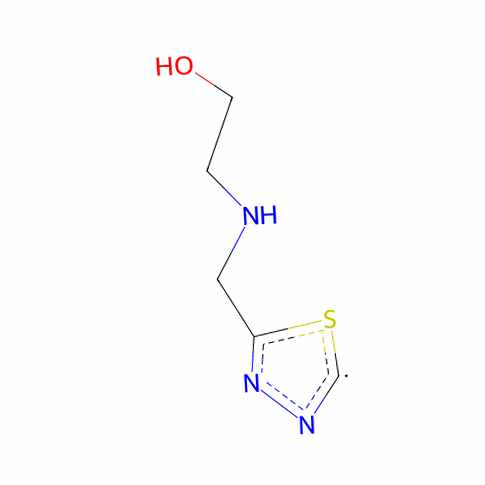 OCCNCc1nn[c]s1